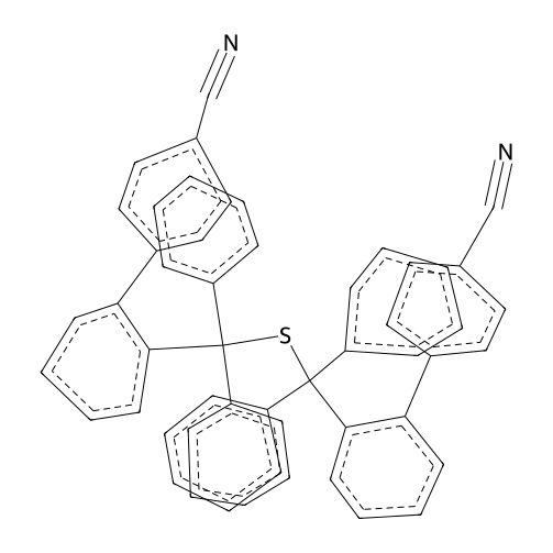 N#Cc1ccc(-c2ccccc2C(SC(c2ccccc2)(c2ccccc2)c2ccccc2-c2ccc(C#N)cc2)(c2ccccc2)c2ccccc2)cc1